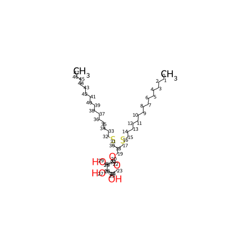 CCCCCCCCCCCCCCCCSCC(CO[C@H]1OC[C@@H](O)[C@H](O)[C@H]1O)CSCCCCCCCCCCCCCCCC